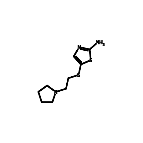 Nc1ncc(SCCN2CCCC2)s1